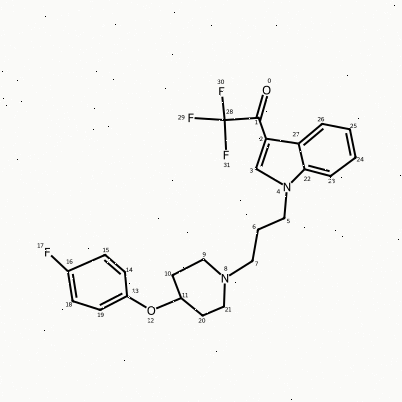 O=C(c1cn(CCCN2CCC(Oc3ccc(F)cc3)CC2)c2ccccc12)C(F)(F)F